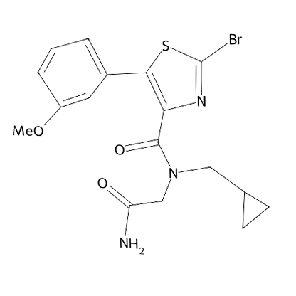 COc1cccc(-c2sc(Br)nc2C(=O)N(CC(N)=O)CC2CC2)c1